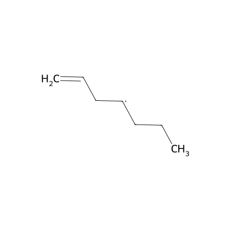 C=CC[CH]CCC